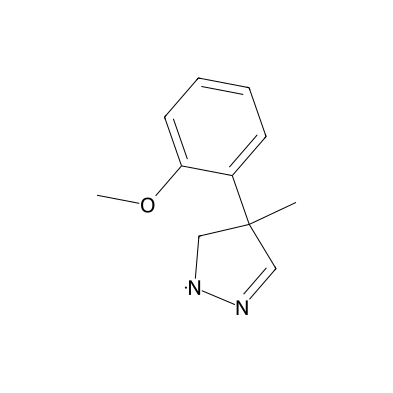 COc1ccccc1C1(C)C=N[N]C1